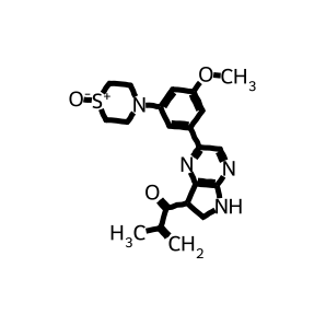 C=C(C)C(=O)C1CNc2ncc(-c3cc(OC)cc(N4CC[S+]([O-])CC4)c3)nc21